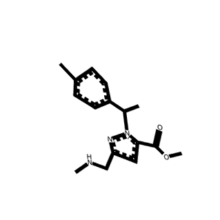 CNCc1cc(C(=O)OC)n(C(C)c2ccc(C)cc2)n1